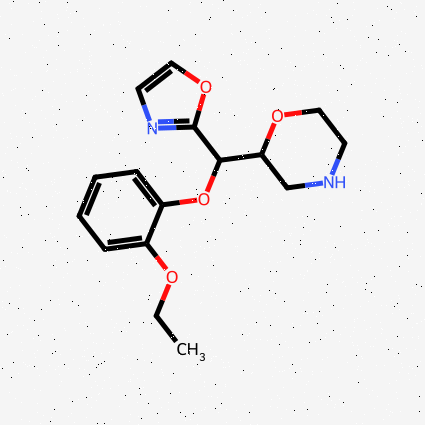 CCOc1ccccc1OC(c1ncco1)C1CNCCO1